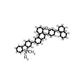 C[Si]1(C)c2ccccc2-c2ccc(-c3ccc4cc5c6c(cccc6c4c3)Oc3cc(-c4cccc6ccccc46)ccc3-5)cc21